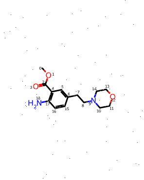 COC(=O)c1cc(CCN2CCOCC2)ccc1N